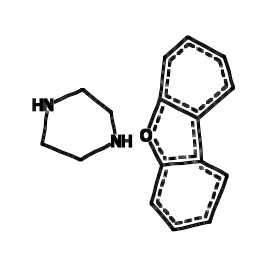 C1CNCCN1.c1ccc2c(c1)oc1ccccc12